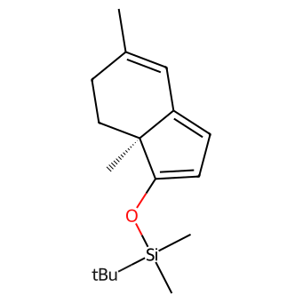 CC1=CC2=CC=C(O[Si](C)(C)C(C)(C)C)[C@@]2(C)CC1